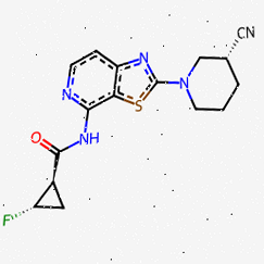 N#C[C@@H]1CCCN(c2nc3ccnc(NC(=O)[C@H]4C[C@@H]4F)c3s2)C1